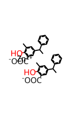 Cc1cc(C(C)c2ccccc2)cc(C(=O)[O-])c1O.Cc1cc(C(C)c2ccccc2)cc(C(=O)[O-])c1O.[Zn+2]